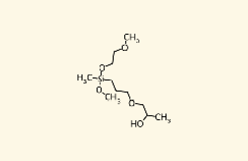 COCCO[Si](C)(CCCOCC(C)O)OC